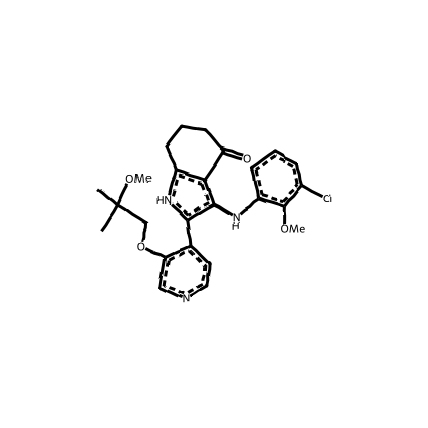 COc1c(Cl)cccc1Nc1c(-c2ccncc2OCC(C)(C)OC)[nH]c2c1C(=O)CCC2